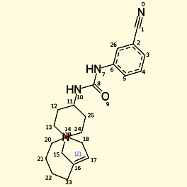 N#Cc1cccc(NC(=O)NC2CCN(C/C3=C\CCCCCC3)CC2)c1